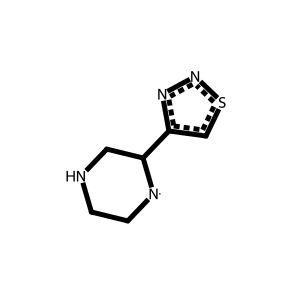 c1snnc1C1CNCC[N]1